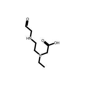 CCN(CCNCC=O)CC(=O)O